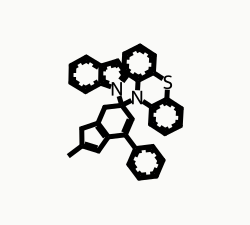 CC1=CC2=C(C1)CC(N1c3ccccc3Sc3ccccc31)(n1ccc3ccccc31)C=C2c1ccccc1